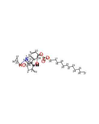 C=C1CC[C@@]2(O)C3Cc4ccc(OC(=O)OCCCCCCCCCCCC)c5c4[C@@]2(CCN3CC2CC2)[C@H]1O5